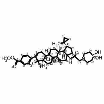 COC(=O)c1ccc(C2=CC[C@]3(C)[C@H]4CC[C@@H]5[C@H]6[C@H](C7(C)CC7)CC[C@]6(NC(=O)CN6CCS(O)(O)CC6)CC[C@@]5(C)[C@]4(C)CC[C@H]3C2(C)C)cc1